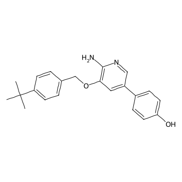 CC(C)(C)c1ccc(COc2cc(-c3ccc(O)cc3)cnc2N)cc1